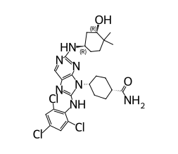 CC1(C)CC[C@@H](Nc2ncc3nc(Nc4c(Cl)cc(Cl)cc4Cl)n([C@H]4CC[C@@H](C(N)=O)CC4)c3n2)C[C@H]1O